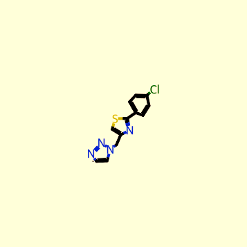 Clc1ccc(-c2nc(Cn3c[c]nn3)cs2)cc1